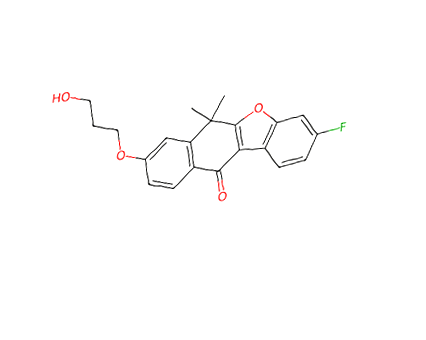 CC1(C)c2cc(OCCCO)ccc2C(=O)c2c1oc1cc(F)ccc21